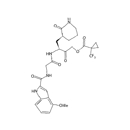 COc1cccc2[nH]c(C(=O)NCC(=O)N[C@@H](C[C@@H]3CCCNC3=O)C(=O)COC(=O)C3(C(F)(F)F)CC3)cc12